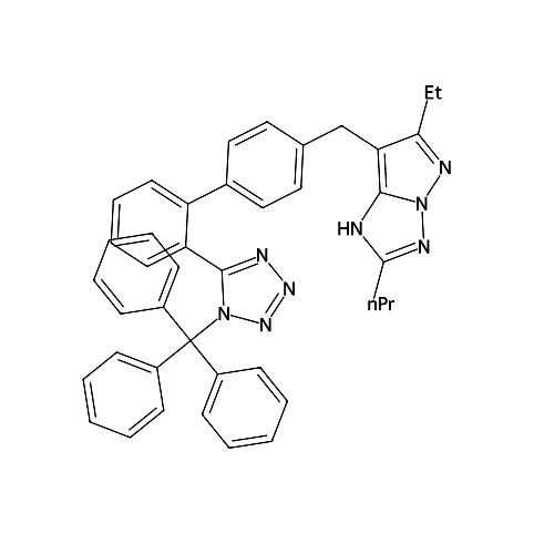 CCCc1nn2nc(CC)c(Cc3ccc(-c4ccccc4-c4nnnn4C(c4ccccc4)(c4ccccc4)c4ccccc4)cc3)c2[nH]1